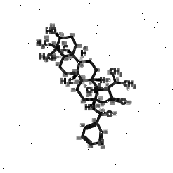 CC(C)C1=C2[C@H]3CC[C@@H]4[C@@]5(C)CC[C@H](O)C(C)(C)[C@@H]5CC[C@@]4(C)[C@]3(C)CC[C@@]2(NC(=O)c2cccnc2)CC1=O